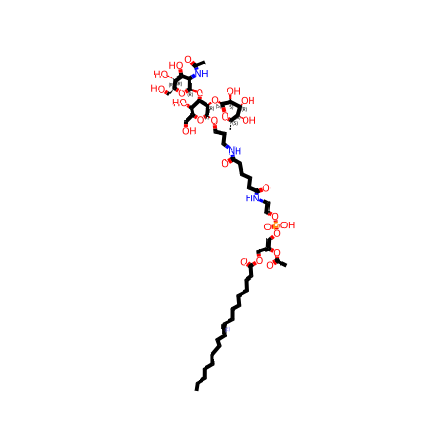 CCCCCCCC/C=C/CCCCCCCC(=O)OCC(COP(=O)(O)OCCNC(=O)CCCCC(=O)NCCCO[C@@H]1OC(CO)C(O)C(O[C@H]2O[C@H](CO)[C@H](O)C(O)C2NC(C)=O)[C@H]1O[C@@H]1O[C@@H](C)[C@@H](O)[C@@H](O)[C@@H]1O)OC(C)=O